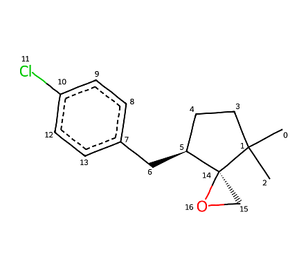 CC1(C)CC[C@H](Cc2ccc(Cl)cc2)[C@@]12CO2